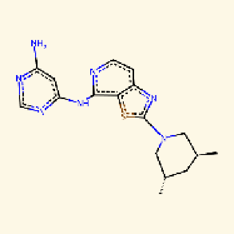 C[C@H]1C[C@H](C)CN(c2nc3ccnc(Nc4cc(N)ncn4)c3s2)C1